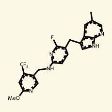 COc1cc(C(F)(F)F)c(CNc2ccc(Cc3c[nH]c4ncc(C)cc34)c(F)n2)cn1